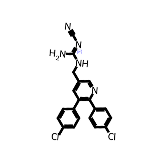 N#C/N=C(\N)NCc1cnc(-c2ccc(Cl)cc2)c(-c2ccc(Cl)cc2)c1